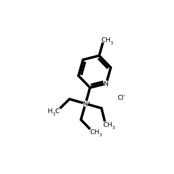 CC[N+](CC)(CC)c1ccc(C)cn1.[Cl-]